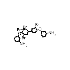 Nc1cccc(OC2=C(Br)C=C(c3ccc(Oc4cccc(N)c4)c(Br)c3)CC2(Br)Br)c1